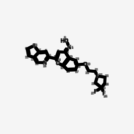 O/N=c1\cc(-c2cc3sccc3cn2)oc2ccc(OCCN3CCC(F)(F)C3)cc12